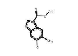 Cc1cc2c(cc1Cl)ncn2C(=O)OC(C)(C)C